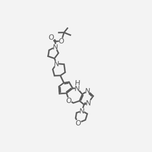 CC(C)(C)OC(=O)N1CCC(N2CCC(c3ccc4c(c3)Nc3ncnc(N5CCOCC5)c3CO4)CC2)C1